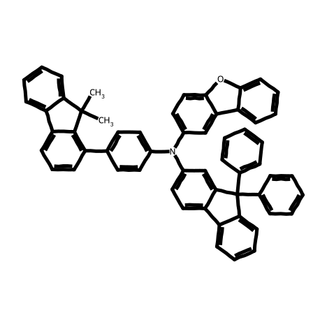 CC1(C)c2ccccc2-c2cccc(-c3ccc(N(c4ccc5c(c4)C(c4ccccc4)(c4ccccc4)c4ccccc4-5)c4ccc5oc6ccccc6c5c4)cc3)c21